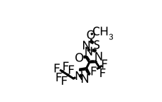 COc1nn2c(=O)c(-c3cnn(CC(F)(F)C(F)(F)F)c3)c(C(F)(F)F)nc2s1